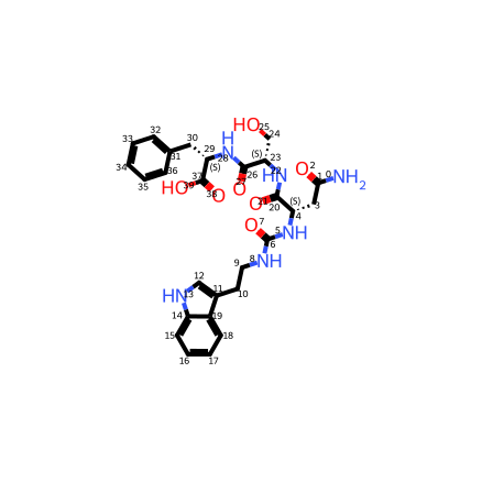 NC(=O)C[C@H](NC(=O)NCCc1c[nH]c2ccccc12)C(=O)N[C@@H](CO)C(=O)N[C@@H](Cc1ccccc1)C(=O)O